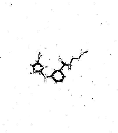 COCCNC(=O)c1cccc(Nc2ncc(Br)s2)c1